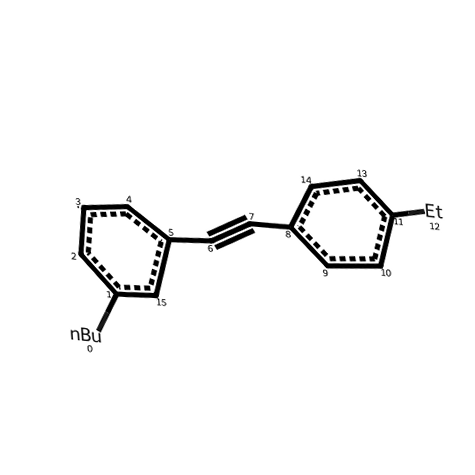 CCCCc1c[c]cc(C#Cc2ccc(CC)cc2)c1